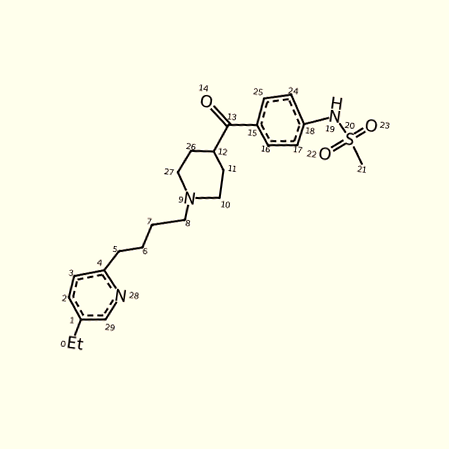 CCc1ccc(CCCCN2CCC(C(=O)c3ccc(NS(C)(=O)=O)cc3)CC2)nc1